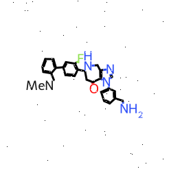 CNCc1ccccc1-c1ccc(C2CC(=O)c3c(ncn3-c3cccc(CN)c3)CN2)c(F)c1